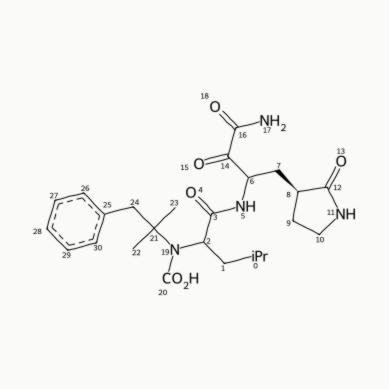 CC(C)CC(C(=O)NC(C[C@@H]1CCNC1=O)C(=O)C(N)=O)N(C(=O)O)C(C)(C)Cc1ccccc1